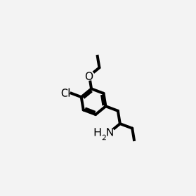 CCOc1cc(CC(N)CC)ccc1Cl